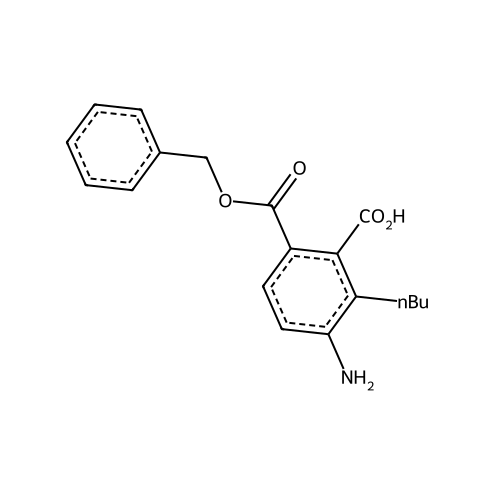 CCCCc1c(N)ccc(C(=O)OCc2ccccc2)c1C(=O)O